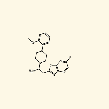 COc1ccccc1N1CCN(C(N)Cc2nc3ccc(F)cc3s2)CC1